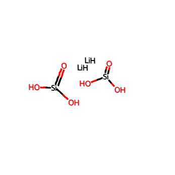 O=[Si](O)O.O=[Si](O)O.[LiH].[LiH]